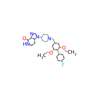 CCOc1cc(CN2CCC(n3cnc4c(=O)[nH]ccc43)CC2)cc(OCC)c1-c1ccc(F)cc1